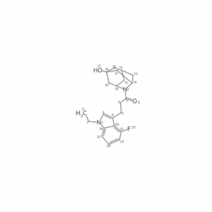 CCn1cc(CCC(=O)N2C3CC4CC2CC(O)(C4)C3)c2c(F)cccc21